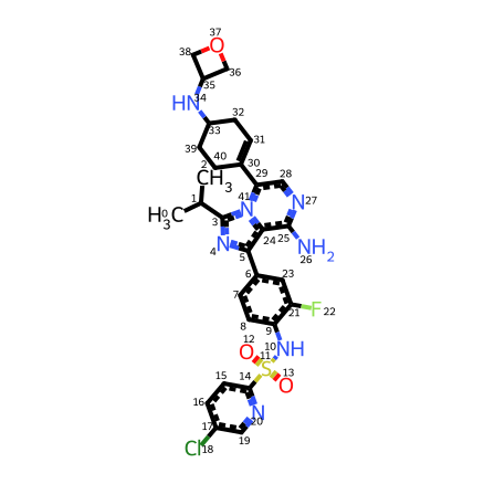 CC(C)c1nc(-c2ccc(NS(=O)(=O)c3ccc(Cl)cn3)c(F)c2)c2c(N)ncc(C3=CCC(NC4COC4)CC3)n12